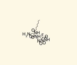 CCCCCCCC(=O)N[C@H](CC(N)=O)C(=O)NCCN(C)C(=O)n1cc(F)c(=O)[nH]c1=O